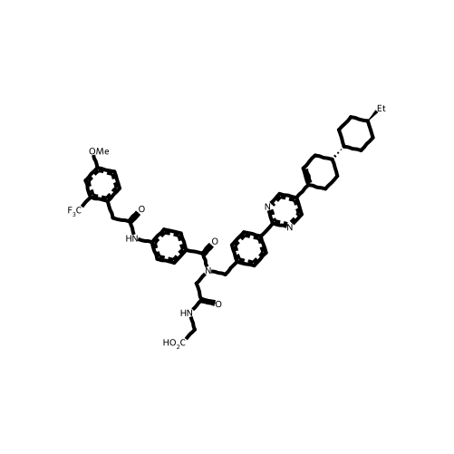 CC[C@H]1CC[C@H](C2CC=C(c3cnc(-c4ccc(CN(CC(=O)NCC(=O)O)C(=O)c5ccc(NC(=O)Cc6ccc(OC)cc6C(F)(F)F)cc5)cc4)nc3)CC2)CC1